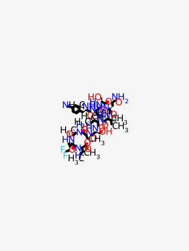 CC[C@H](C)[C@H](NC(=O)[C@@H](Cc1ccc(C#N)cc1)NC)C(=O)N[C@@H](CO)C(=O)N[C@H](CCC(N)=O)C(=O)N[C@@H](C(=O)N[C@H](C(=O)N[C@@H](CO)C(=O)N[C@H]1C(=O)N[C@@H](C)C(=O)N[C@@]2(C[C@H]2CC(F)F)C(=O)N[C@@H]([C@@H](C)CC)C(=O)O[C@H]1C)[C@@H](C)CC)[C@@H](C)CC